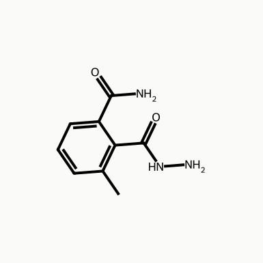 Cc1cccc(C(N)=O)c1C(=O)NN